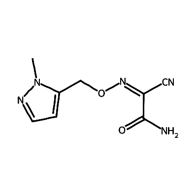 Cn1nccc1CON=C(C#N)C(N)=O